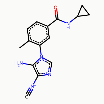 [C-]#[N+]c1ncn(-c2cc(C(=O)NC3CC3)ccc2C)c1N